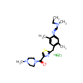 CCN(C)C=Nc1cc(C)c(Cc2nc(C(=O)N3CCN(C)CC3)cs2)cc1C.Cl.Cl